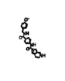 COc1ccc(CNC(=O)c2ccc(NC(=O)N3C=C4C=CNC=C4C3)cc2)cc1